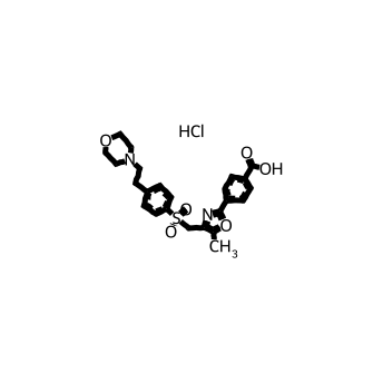 Cc1oc(-c2ccc(C(=O)O)cc2)nc1CS(=O)(=O)c1ccc(CCN2CCOCC2)cc1.Cl